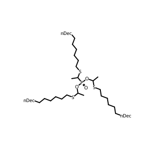 CCCCCCCCCCCCCCCCSC(C)OP(=O)(OC(C)SCCCCCCCCCCCCCCCC)C(C)SCCCCCCCCCCCCCCCC